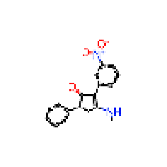 CNC1=C(c2cccc([N+](=O)[O-])c2)C(=O)C(c2ccccc2)C1